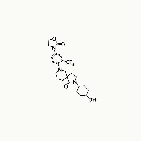 O=C1OCCN1c1ccc(N2CCC[C@]3(CCN([C@H]4CC[C@H](O)CC4)C3=O)C2)c(C(F)(F)F)c1